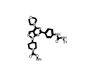 CCCOC(=O)N1CCC(n2ncc3c(N4CCOCC4)nc(-c4ccc(NC(=O)NCC)cc4)nc32)CC1